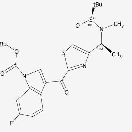 C[C@@H](c1csc(C(=O)c2cn(C(=O)OC(C)(C)C)c3cc(F)ccc23)n1)N(C)[S@@+]([O-])C(C)(C)C